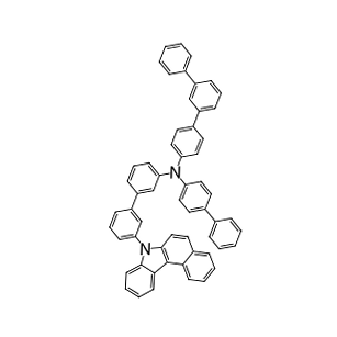 c1ccc(-c2ccc(N(c3ccc(-c4cccc(-c5ccccc5)c4)cc3)c3cccc(-c4cccc(-n5c6ccccc6c6c7ccccc7ccc65)c4)c3)cc2)cc1